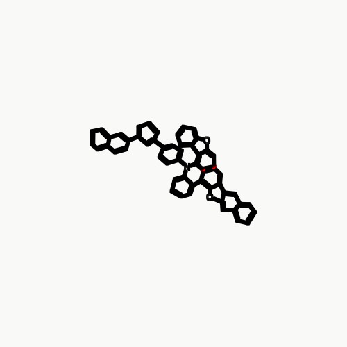 c1cc(-c2ccc(N(c3ccccc3-c3cccc4c3oc3cc5ccccc5cc34)c3cccc4oc5ccccc5c34)cc2)cc(-c2ccc3ccccc3c2)c1